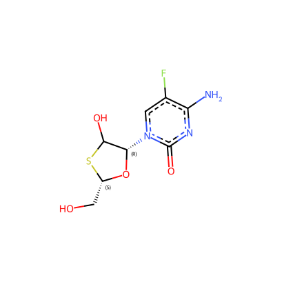 Nc1nc(=O)n([C@@H]2O[C@H](CO)SC2O)cc1F